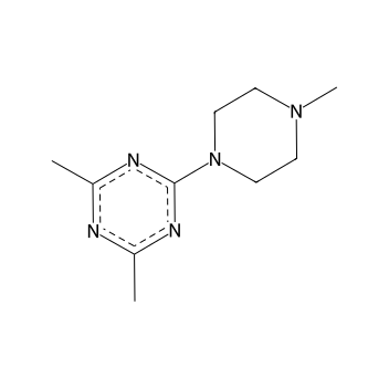 Cc1nc(C)nc(N2CCN(C)CC2)n1